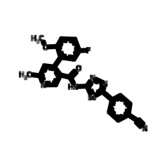 COc1ccc(F)cc1-c1cc(C)ncc1C(=O)Nc1nnc(-c2ccc(C#N)cc2)[se]1